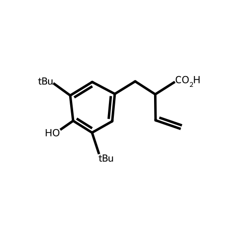 C=CC(Cc1cc(C(C)(C)C)c(O)c(C(C)(C)C)c1)C(=O)O